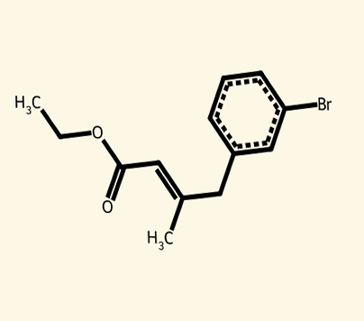 CCOC(=O)C=C(C)Cc1cccc(Br)c1